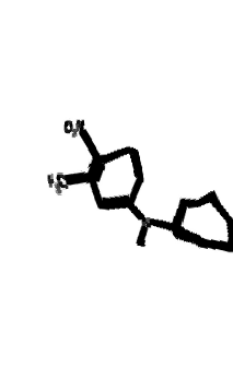 CN(c1ccc([N+](=O)[O-])c(C(F)(F)F)c1)C1CCCCC1